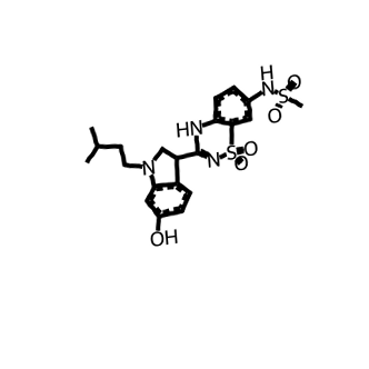 CC(C)CCN1CC(C2=NS(=O)(=O)c3cc(NS(C)(=O)=O)ccc3N2)c2ccc(O)cc21